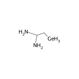 NC(N)[CH2][GeH3]